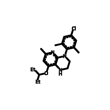 CCC(CC)Oc1cc(C)nc2c1NCCN2c1c(C)cc(Cl)cc1C